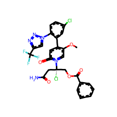 COc1cn([C@@](Cl)(COC(=O)c2ccccc2)CC(N)=O)c(=O)cc1-c1cc(Cl)ccc1-n1cc(C(F)(F)F)nn1